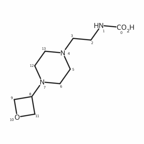 O=C(O)NCCN1CCN(C2COC2)CC1